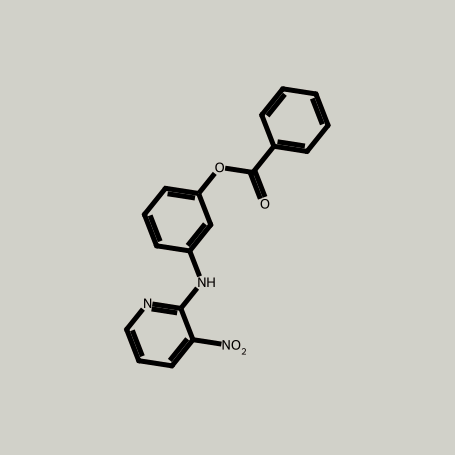 O=C(Oc1cccc(Nc2ncccc2[N+](=O)[O-])c1)c1ccccc1